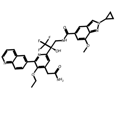 CCOc1c(CC(N)=O)cc([C@@](O)(CNC(=O)c2cc(OC)c3nn(C4CC4)cc3c2)C(F)(F)F)nc1-c1ccc2ncccc2c1